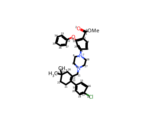 COC(=O)c1ccc(N2CCN(CC3=C(c4ccc(Cl)cc4)CCC(C)(C)C3)CC2)cc1Oc1ccccc1